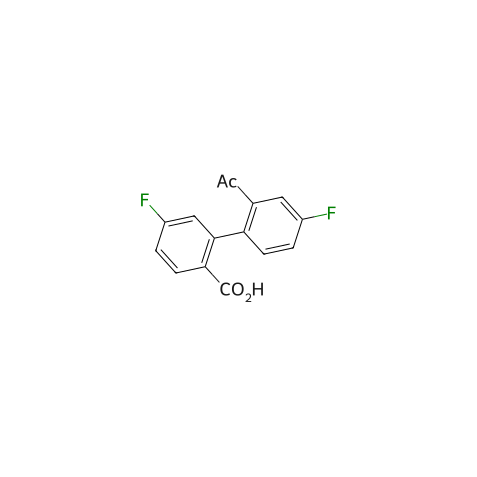 CC(=O)c1cc(F)ccc1-c1cc(F)ccc1C(=O)O